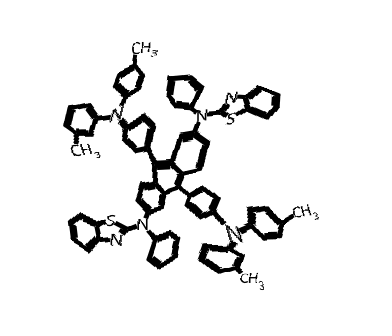 Cc1ccc(N(c2ccc(-c3c4ccc(N(c5ccccc5)c5nc6ccccc6s5)cc4c(-c4ccc(N(c5ccc(C)cc5)c5cccc(C)c5)cc4)c4ccc(N(c5ccccc5)c5nc6ccccc6s5)cc34)cc2)c2cccc(C)c2)cc1